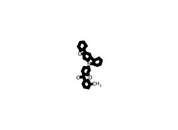 Cc1cccc2c(=O)c3ccc(-n4c5ccccc5c5cc6c(cc54)oc4ccccc46)cc3oc12